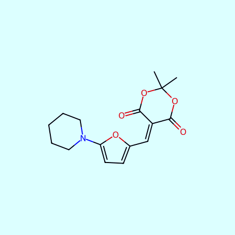 CC1(C)OC(=O)C(=Cc2ccc(N3CCCCC3)o2)C(=O)O1